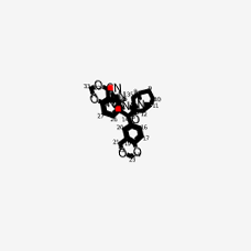 N#Cc1ncn(C(=O)N2C3CCC2CC(C(c2ccc4c(c2)COCO4)c2ccc4c(c2)COCO4)C3)n1